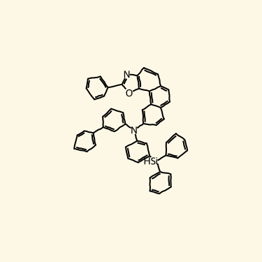 c1ccc(-c2cccc(N(c3cccc([SiH](c4ccccc4)c4ccccc4)c3)c3ccc4ccc5ccc6nc(-c7ccccc7)oc6c5c4c3)c2)cc1